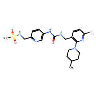 CC1CCN(c2nc(C(F)(F)F)ccc2CNC(=O)Nc2ccc(CNS(C)(=O)=O)nc2)CC1